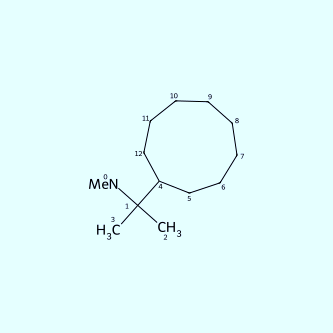 CNC(C)(C)C1CCCCCCCC1